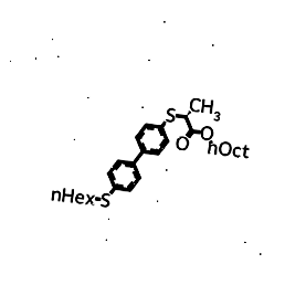 CCCCCCCCOC(=O)[C@@H](C)Sc1ccc(-c2ccc(SCCCCCC)cc2)cc1